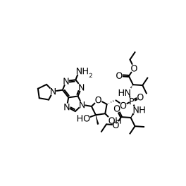 CCOC(=O)[C@@H](NP(=O)(N[C@H](C(=O)OCC)C(C)C)OC[C@H]1OC(n2cnc3c(N4CCCC4)nc(N)nc32)[C@@](C)(O)C1O)C(C)C